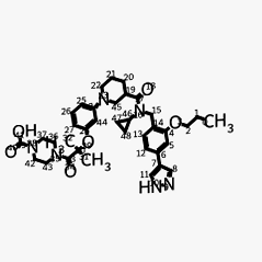 CCCOc1cc(-c2cn[nH]c2)ccc1CN(C(=O)C1CCCN(c2cccc(OC(C)(C)C(=O)N3CCN(C(=O)O)CC3)c2)C1)C1CC1